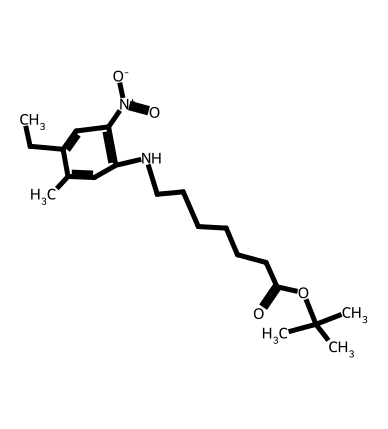 CCc1cc([N+](=O)[O-])c(NCCCCCCC(=O)OC(C)(C)C)cc1C